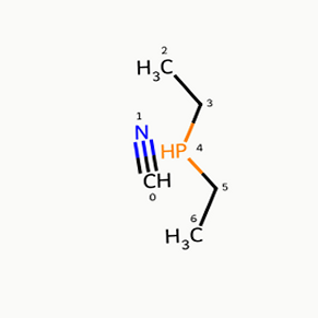 C#N.CCPCC